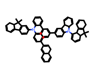 CC1(C)C2=C(C=CCC2)C2C(N3c4ccc(-c5cccc(-c6ccccc6N(c6ccc(C7=CCC8C=CC=CC8=C7)cc6)c6ccc7c(c6)C(C)(C)C6CC=CC=C76)c5)cc4C4C=CC=CC43)=CC=CC21